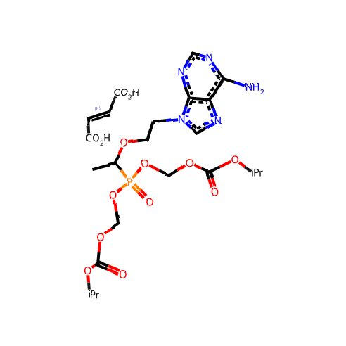 CC(C)OC(=O)OCOP(=O)(OCOC(=O)OC(C)C)C(C)OCCn1cnc2c(N)ncnc21.O=C(O)/C=C/C(=O)O